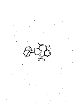 C=C(C)C(=O)OC(COS(=O)(=O)c1cccc([N+](=O)[O-])c1)C12CC3CC(CC(C3)C1)C2